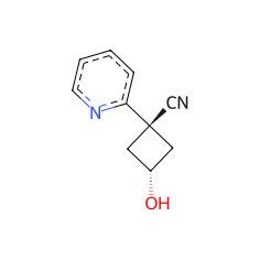 N#C[C@]1(c2ccccn2)C[C@@H](O)C1